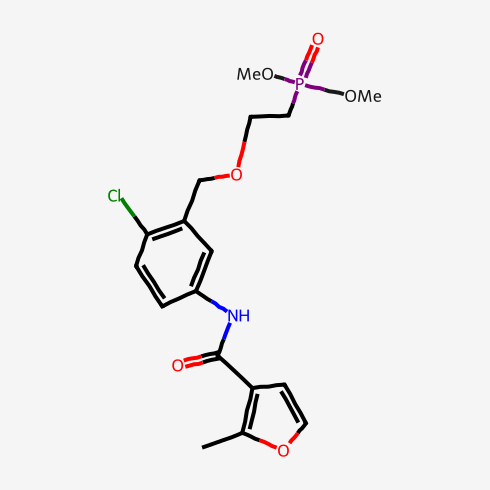 COP(=O)(CCOCc1cc(NC(=O)c2ccoc2C)ccc1Cl)OC